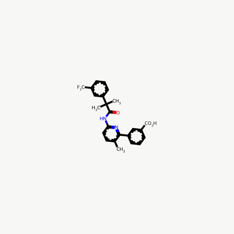 Cc1ccc(NC(=O)C(C)(C)c2cccc(C(F)(F)F)c2)nc1-c1cccc(C(=O)O)c1